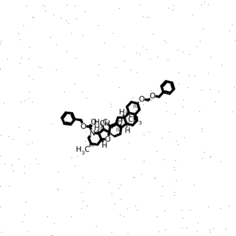 CC1=C2C[C@H]3[C@@H](CC=C4C[C@@H](OCOCc5ccccc5)CC[C@@]43C)[C@@H]2CC[C@]12O[C@@H]1C[C@H](C)CN(C(=O)OCc3ccccc3)[C@H]1[C@H]2C